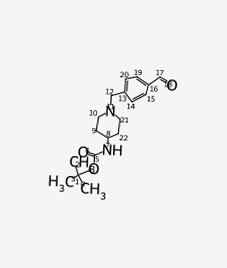 CC(C)(C)OC(=O)NC1CCN(Cc2ccc(C=O)cc2)CC1